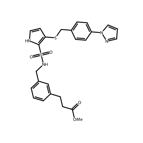 COC(=O)CCc1cccc(CNS(=O)(=O)c2[nH]ccc2SCc2ccc(-n3cccn3)cc2)c1